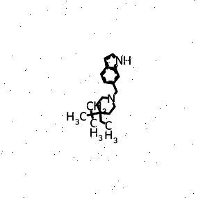 CCC1(C(C)(C)C)CCN(Cc2ccc3cc[nH]c3c2)CC1